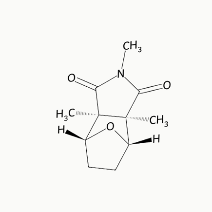 CN1C(=O)[C@@]2(C)[C@@H]3CC[C@@H](O3)[C@@]2(C)C1=O